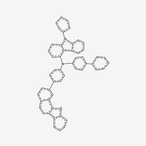 c1ccc(-c2ccc(N(c3ccc(-c4ccc5ccc6c7ccccc7sc6c5c4)cc3)c3cccc4c3c3ccccc3n4-c3ccccc3)cc2)cc1